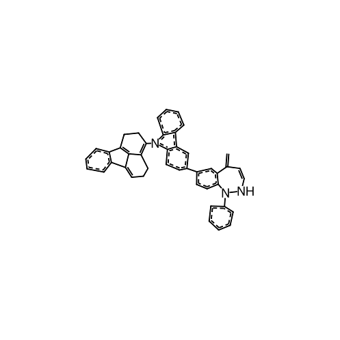 C=C1C=CNN(c2ccccc2)c2ccc(-c3ccc4c(c3)c3ccccc3n4C3=C4CCC=C5C4=C(CC3)c3ccccc35)cc21